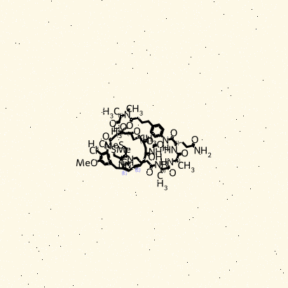 COc1cc2cc(c1Cl)N(C)C(=O)C[C@H](OC(=O)[C@H](C)N(C)C(=O)CCCc1ccc(NC(=O)[C@H](CCC(N)=O)NC(=O)[C@H](C)NC(=O)[C@H](C)NC(=O)CCCn3nnc(CSC)c3CSC)cc1)[C@@]1(C)CC(C)(O1)[C@@H]1C[C@](O)(C/C=C/C=C(\C)C2)NC(=O)O1